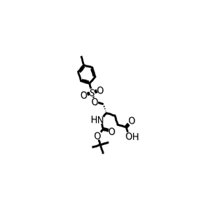 Cc1ccc(S(=O)(=O)OC[C@H](CCC(=O)O)NC(=O)OC(C)(C)C)cc1